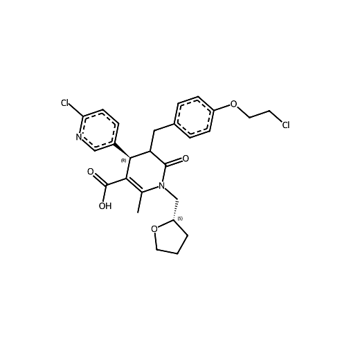 CC1=C(C(=O)O)[C@@H](c2ccc(Cl)nc2)C(Cc2ccc(OCCCl)cc2)C(=O)N1C[C@@H]1CCCO1